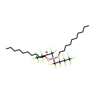 CCCCCCCCCC[O][Sn]([O]CCCCCCCCCC)([C](F)(F)C(F)(F)C(F)(F)C(F)(F)F)[C](F)(F)C(F)(F)C(F)(F)C(F)(F)F